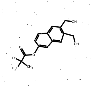 CCC(C)(C)C(=O)Oc1ccc2cc(CO)c(CO)cc2c1